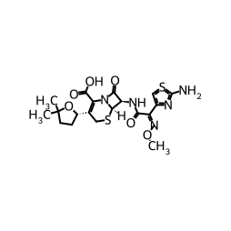 CO/N=C(\C(=O)N[C@@H]1C(=O)N2C(C(=O)O)=C([C@@H]3CCC(C)(C)O3)CS[C@H]12)c1csc(N)n1